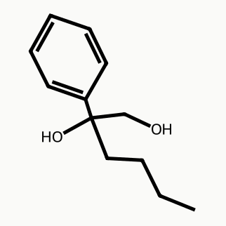 CCCCC(O)(CO)c1ccccc1